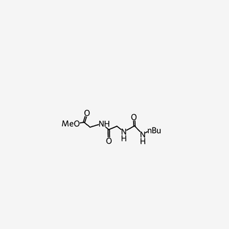 CCCCNC(=O)NCC(=O)NCC(=O)OC